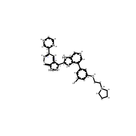 C=c1[nH]nc(-c2nc3c(-c4cc(F)cc(OCCN5CCCC5)c4)cncc3[nH]2)/c1=C/C(=N\C)c1cnccn1